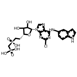 O=P(O)(O)CP(=O)(O)CC[C@H]1O[C@@H](n2cnc3c(Nc4ccc5[nH]ccc5c4)nc(Cl)nc32)C(O)C1O